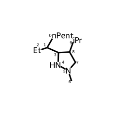 CCCCCC(CC)C1NN(C)CC1C(C)C